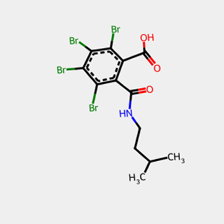 CC(C)CCNC(=O)c1c(Br)c(Br)c(Br)c(Br)c1C(=O)O